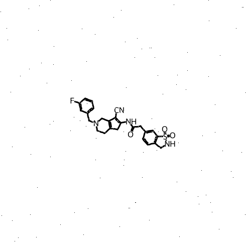 N#CC1=C(NC(=O)Cc2ccc3c(c2)S(=O)(=O)NC3)CC2=C1CN(Cc1cccc(F)c1)CC2